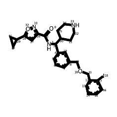 O=C(NC(c1cccc(COCc2ccccc2I)c1)C1CCNCC1)c1cc(C2CC2)on1